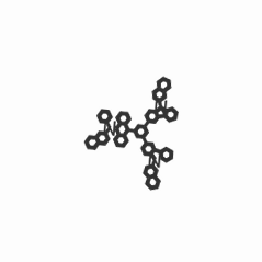 c1ccc(N(c2ccc3ccccc3c2)c2c3ccccc3c(-c3cc(-c4ccc5c(c4)c4ccccc4n5-c4ccc5ccccc5c4)cc(-c4ccc5c(c4)c4ccccc4n5-c4ccc5ccccc5c4)c3)c3ccccc23)cc1